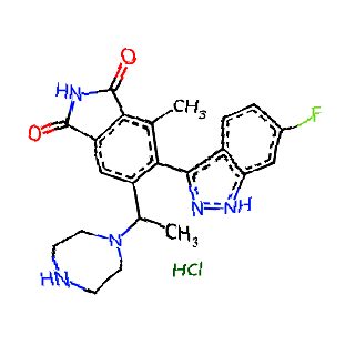 Cc1c2c(cc(C(C)N3CCNCC3)c1-c1n[nH]c3cc(F)ccc13)C(=O)NC2=O.Cl